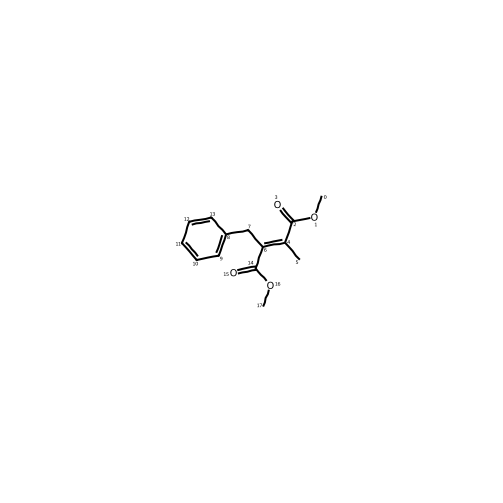 COC(=O)C(C)=C(Cc1ccccc1)C(=O)OC